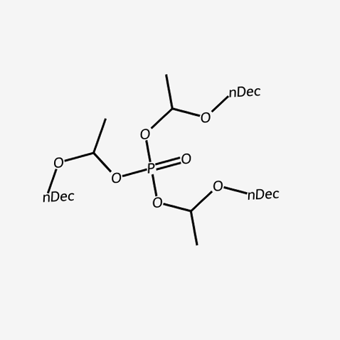 CCCCCCCCCCOC(C)OP(=O)(OC(C)OCCCCCCCCCC)OC(C)OCCCCCCCCCC